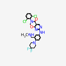 CNCc1cc(Nc2ncc3c(n2)OCN(c2c(Cl)cccc2Cl)C3=O)ccc1N1CCC(F)(F)CC1